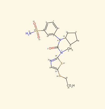 CN(C(=O)N(c1cccc(S(N)(=O)=O)c1)C1CCCC1)c1ncc(SCC(=O)O)s1